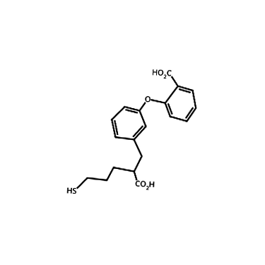 O=C(O)c1ccccc1Oc1cccc(CC(CCCS)C(=O)O)c1